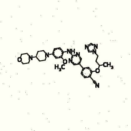 COc1cc(N2CCC(N3CCOCC3)CC2)ccc1Nc1ncc(-c2ccc(C#N)c(OC(C)CCn3cncn3)c2)cn1